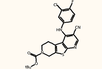 CC(C)(C)OC(=O)N1CCc2c(sc3ncc(C#N)c(Nc4ccc(F)c(Cl)c4)c23)C1